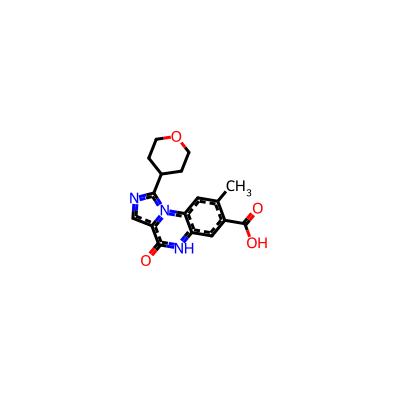 Cc1cc2c(cc1C(=O)O)[nH]c(=O)c1cnc(C3CCOCC3)n12